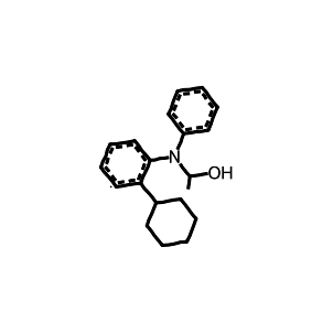 CC(O)N(c1ccccc1)c1ccc[c]c1C1CCCCC1